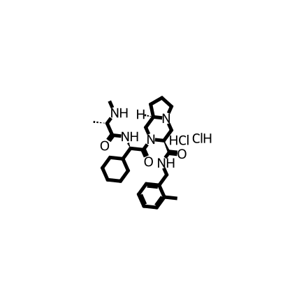 CN[C@@H](C)C(=O)N[C@H](C(=O)N1C[C@H]2CCCN2C[C@H]1C(=O)NCc1ccccc1C)C1CCCCC1.Cl.Cl